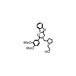 COc1ccc(C(=O)N(Cc2nc3ccccc3s2)CC2CCCN2CCO)cc1OC